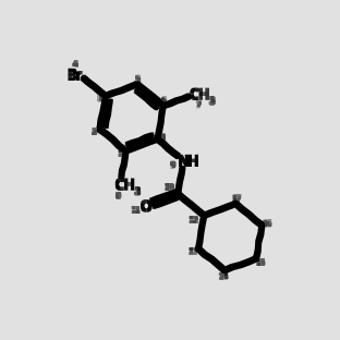 Cc1cc(Br)cc(C)c1NC(=O)C1CCCCC1